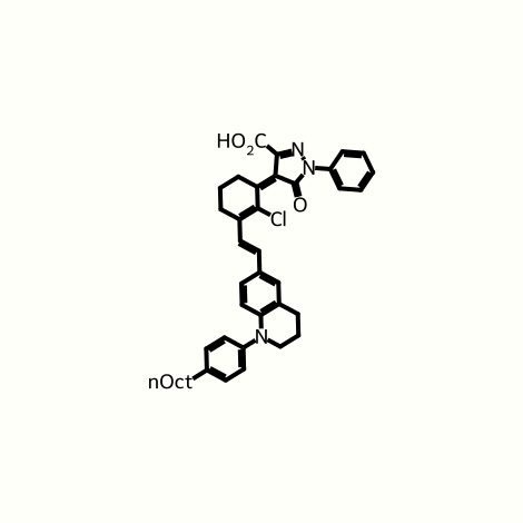 CCCCCCCCc1ccc(N2CCCc3cc(/C=C/C4=C(Cl)C(=C5\C(=O)N(c6ccccc6)N=C5C(=O)O)/CCC4)ccc32)cc1